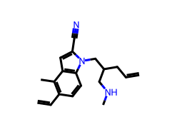 C=CCC(CNC)Cn1c(C#N)cc2c(C)c(C=C)ccc21